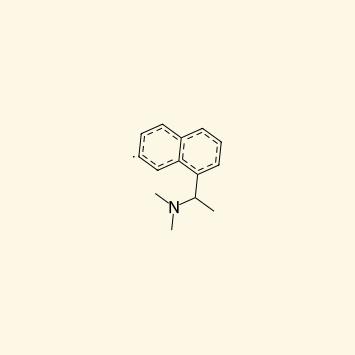 CC(c1cccc2cc[c]cc12)N(C)C